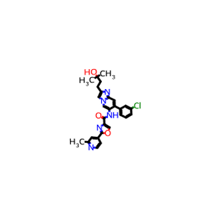 Cc1cc(-c2nc(C(=O)Nc3cn4cc(CCC(C)(C)O)nc4cc3-c3cccc(Cl)c3)co2)ccn1